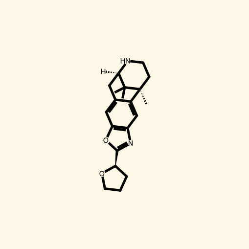 CC1(C)[C@H]2Cc3cc4oc([C@H]5CCCO5)nc4cc3[C@]1(C)CCN2